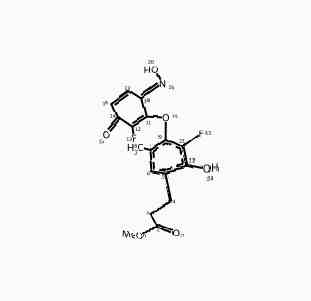 COC(=O)CCc1cc(C)c(OC2=C(F)C(=O)C=C/C2=N\O)c(F)c1O